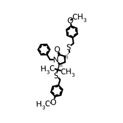 COc1ccc(CSC[C@@H]2C[C@@H](C(C)(C)SCc3ccc(OC)cc3)N(Cc3ccccc3)C2=O)cc1